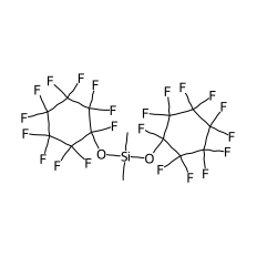 C[Si](C)(OC1(F)C(F)(F)C(F)(F)C(F)(F)C(F)(F)C1(F)F)OC1(F)C(F)(F)C(F)(F)C(F)(F)C(F)(F)C1(F)F